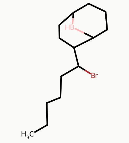 CCCCCC(Br)C1CCC2BC1CCC2